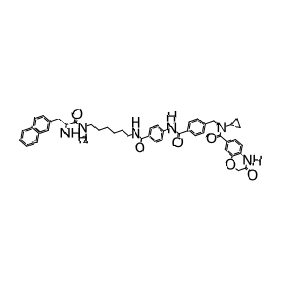 N[C@@H](Cc1ccc2ccccc2c1)C(=O)NCCCCCCNC(=O)c1ccc(NC(=O)c2ccc(CN(C(=O)c3ccc4c(c3)OCC(=O)N4)C3CC3)cc2)cc1